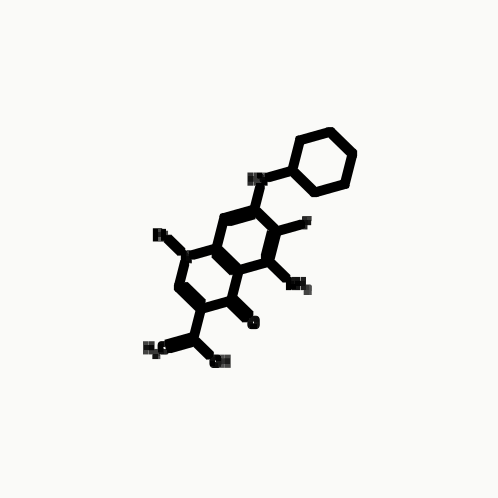 C=C(O)c1cn(CC)c2cc(NC3CCCCC3)c(F)c(N)c2c1=O